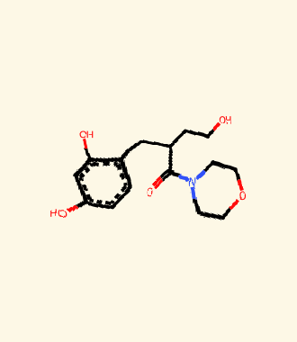 O=C(C(CCO)Cc1ccc(O)cc1O)N1CCOCC1